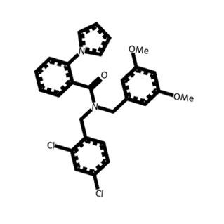 COc1cc(CN(Cc2ccc(Cl)cc2Cl)C(=O)c2ccccc2-n2cccc2)cc(OC)c1